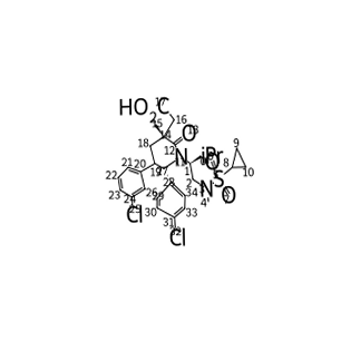 CC(C)[C@@H](CN(C)S(=O)(=O)C1CC1)N1C(=O)[C@@](C)(CC(=O)O)CC(c2cccc(Cl)c2)[C@H]1c1ccc(Cl)cc1